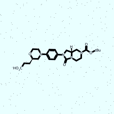 CC(C)(C)OC(=O)N1CCN2C(=O)N(c3ccc(N4CCO[C@H](CCC(=O)O)C4)cc3)C[C@@H]2C1